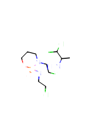 CC(N)C(Cl)Cl.O=P1(NCCCl)OCCCN1CCCl